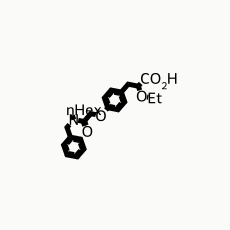 CCCCCCN(Cc1ccccc1)C(=O)COc1ccc(CC(OCC)C(=O)O)cc1